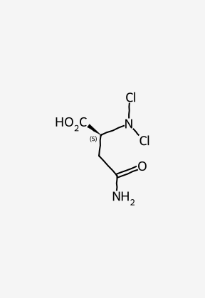 NC(=O)C[C@@H](C(=O)O)N(Cl)Cl